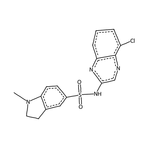 CN1CCc2cc(S(=O)(=O)Nc3cnc4c(Cl)cccc4n3)ccc21